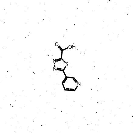 O=C(O)c1nnc(-c2cccnc2)s1